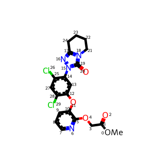 COC(=O)COc1ncccc1Oc1cc(-n2nc3n(c2=O)CCCC3)c(Cl)cc1Cl